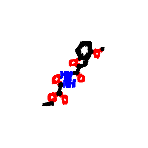 CCOC(=O)C(=O)NNC(=O)c1cc2c(OC)cccc2o1